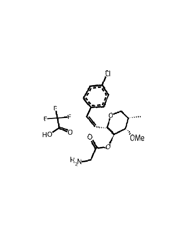 CO[C@@H]1[C@@H](OC(=O)CN)[C@H](/C=C\c2ccc(Cl)cc2)OC[C@@H]1C.O=C(O)C(F)(F)F